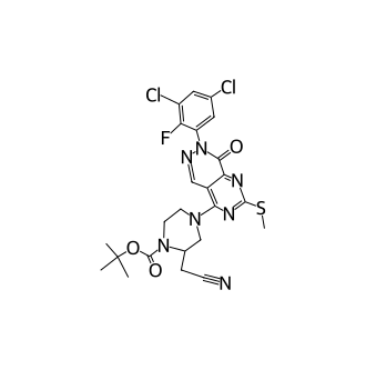 CSc1nc(N2CCN(C(=O)OC(C)(C)C)C(CC#N)C2)c2cnn(-c3cc(Cl)cc(Cl)c3F)c(=O)c2n1